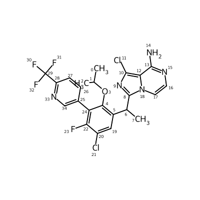 CC(C)Oc1c(C(C)c2nc(Cl)c3c(N)nccn23)cc(Cl)c(F)c1-c1ccc(C(F)(F)F)nc1